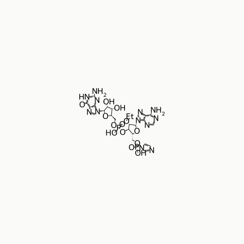 CCO[C@@H]1[C@H](OP(=O)(O)OC[C@H]2O[C@@H](n3cnc4c(=O)[nH]c(N)nc43)[C@H](O)[C@@H]2O)[C@@H](COP(=O)(O)n2ccnc2)O[C@H]1n1cnc2c(N)ncnc21